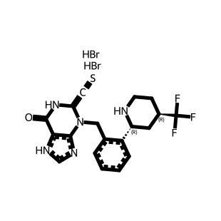 Br.Br.O=C1NC(=C=S)N(Cc2ccccc2[C@H]2C[C@H](C(F)(F)F)CCN2)c2nc[nH]c21